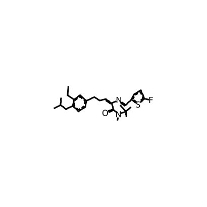 CCc1cc(CC/C=C(/N=C/c2ccc(F)s2)C(=O)N(C)C(C)(C)C)ccc1CC(C)C